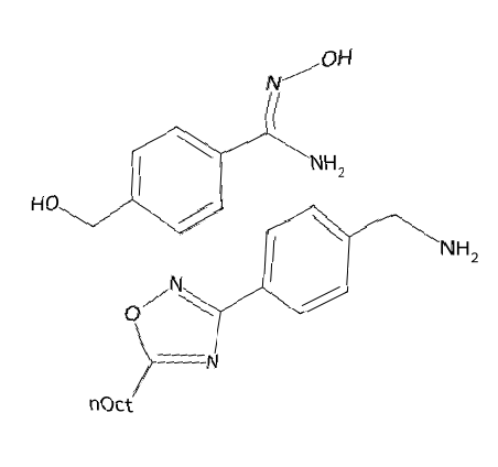 CCCCCCCCc1nc(-c2ccc(CN)cc2)no1.NC(=NO)c1ccc(CO)cc1